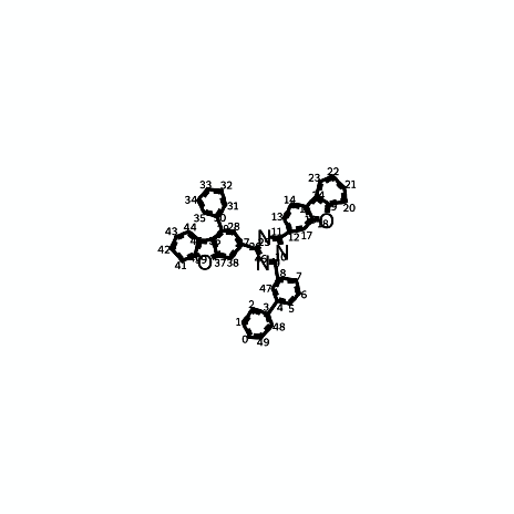 c1ccc(-c2cccc(-c3nc(-c4ccc5c(c4)oc4ccccc45)nc(-c4cc(-c5ccccc5)c5c(c4)oc4ccccc45)n3)c2)cc1